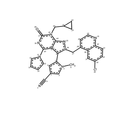 Cn1cc(C#N)cc1-c1c2c(-n3cccc3)nc(=O)n(CC3CC3)c2nn1Cc1ccnc2ccc(Cl)cc12